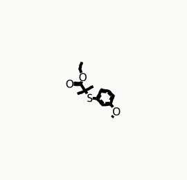 CCOC(=O)C(C)(C)Sc1cccc(OC)c1